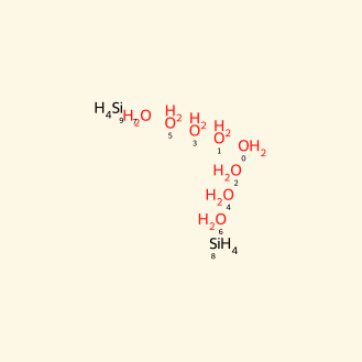 O.O.O.O.O.O.O.O.[SiH4].[SiH4]